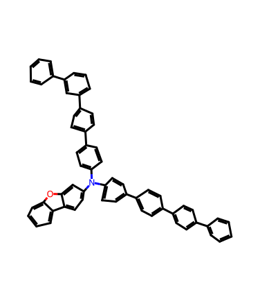 c1ccc(-c2ccc(-c3ccc(-c4ccc(N(c5ccc(-c6ccc(-c7cccc(-c8ccccc8)c7)cc6)cc5)c5ccc6c(c5)oc5ccccc56)cc4)cc3)cc2)cc1